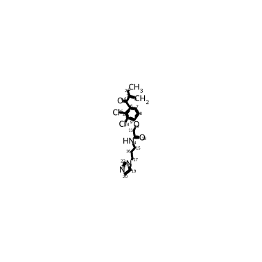 C=C(CC)C(=O)c1ccc(OCC(=O)NCCCn2ccnc2)c(Cl)c1Cl